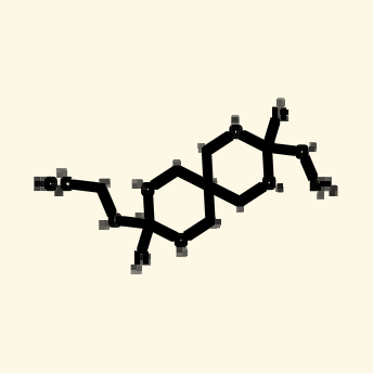 CCC1(ON)OCC2(CO1)COC(CC)(OCC(=O)O)OC2